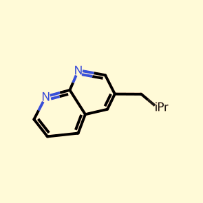 CC(C)Cc1cnc2ncccc2c1